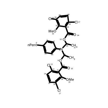 CCCCCc1ccc(N(C(C)OC(=O)c2c(Cl)ccc(Cl)c2OC)C(C)OC(=O)c2c(Cl)ccc(Cl)c2OC)cc1